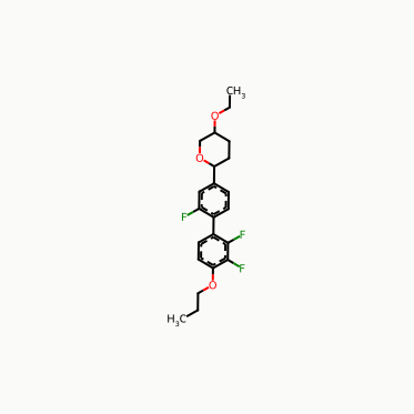 CCCOc1ccc(-c2ccc(C3CCC(OCC)CO3)cc2F)c(F)c1F